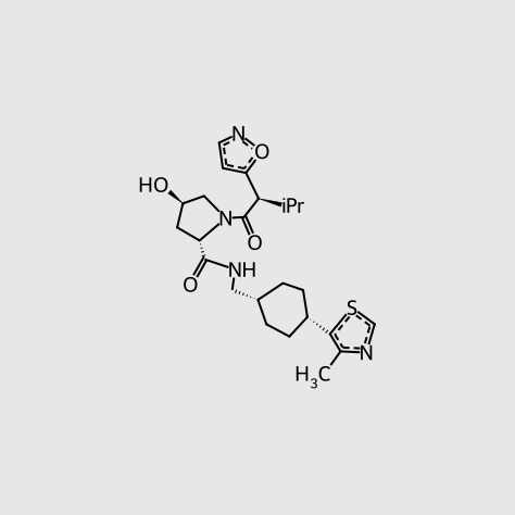 Cc1ncsc1[C@H]1CC[C@@H](CNC(=O)[C@@H]2C[C@@H](O)CN2C(=O)[C@@H](c2ccno2)C(C)C)CC1